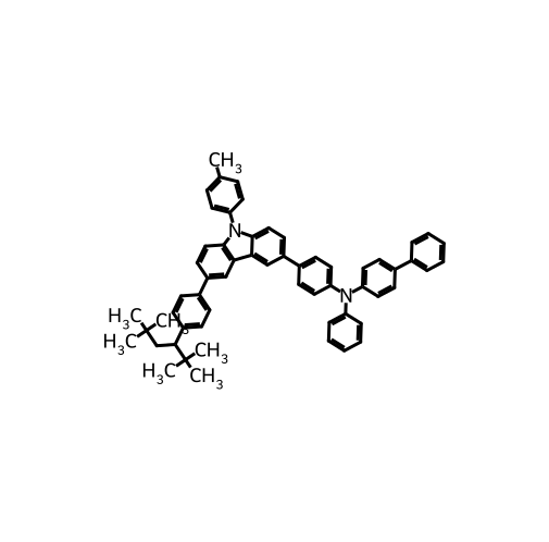 Cc1ccc(-n2c3ccc(-c4ccc(C(CC(C)(C)C)C(C)(C)C)cc4)cc3c3cc(-c4ccc(N(c5ccccc5)c5ccc(-c6ccccc6)cc5)cc4)ccc32)cc1